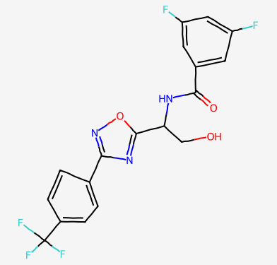 O=C(NC(CO)c1nc(-c2ccc(C(F)(F)F)cc2)no1)c1cc(F)cc(F)c1